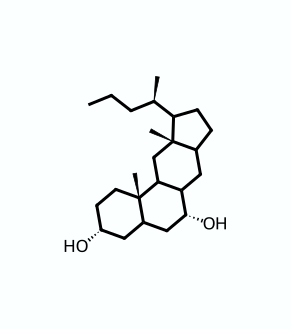 CCC[C@@H](C)C1CCC2CC3C(C[C@@]21C)[C@@]1(C)CC[C@@H](O)CC1C[C@H]3O